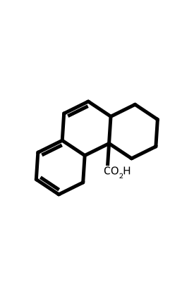 O=C(O)C12CCCCC1C=CC1=CC=CCC12